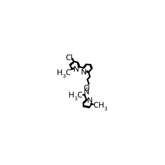 C/C(=N\OCCCc1cccc(-c2cc(Cl)cc(C)n2)n1)c1cccc(C)n1